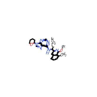 Cc1cccc2cc(C(C)Nc3ncnc4c3ncn4C3CCCCO3)nc(OC(C)C)c12